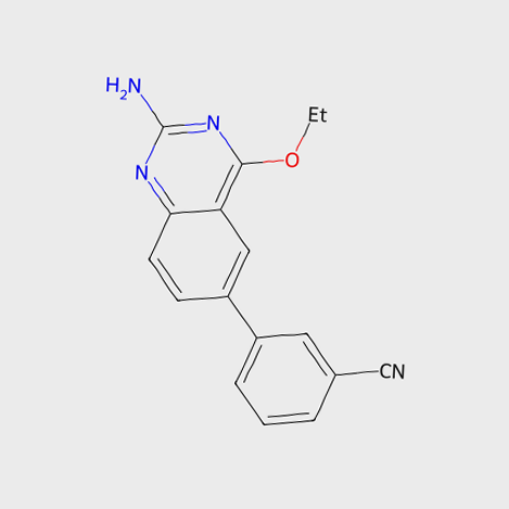 CCOc1nc(N)nc2ccc(-c3cccc(C#N)c3)cc12